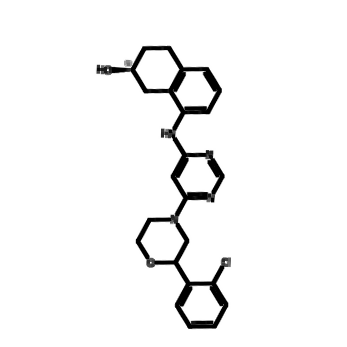 O[C@H]1CCc2cccc(Nc3cc(N4CCOC(c5ccccc5Cl)C4)ncn3)c2C1